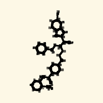 Nc1ccccc1NC(=O)c1ccc(OCCN(COc2ccccc2)C(=O)c2cc3cc(F)ccc3o2)cc1